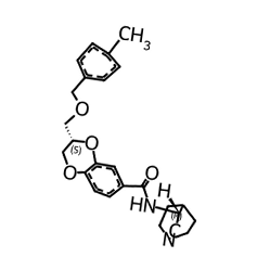 Cc1ccc(COC[C@H]2COc3ccc(C(=O)N[C@H]4CN5CCC4CC5)cc3O2)cc1